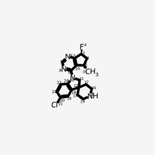 CC1C[C@H](F)c2ncnc(N3CC4(CCNCC4)c4cc(Cl)ccc43)c21